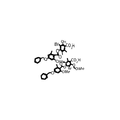 COCOc1c(Br)c(OC(=O)c2c(C)cc(OCc3ccccc3)cc2OC)c(C)c(C)c1C(=O)O.COc1cc(OCc2ccccc2)cc(C)c1C(=O)Oc1c(C)c(C)c(C(=O)O)c(O)c1Br